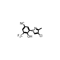 Cc1nn(-c2cc(C#N)cc(C(F)(F)F)c2O)cc1Cl